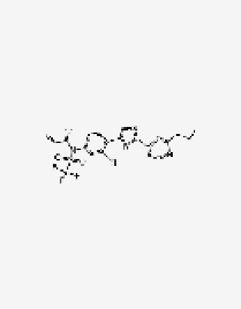 C=CC(=O)N(c1ccc(-c2csc(-c3ccnc(CCC)c3)n2)c(Cl)c1)S(=O)(=O)C(F)(F)F